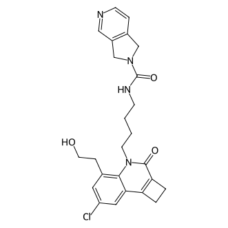 O=C(NCCCCn1c(=O)c2c(c3cc(Cl)cc(CCO)c31)CC2)N1Cc2ccncc2C1